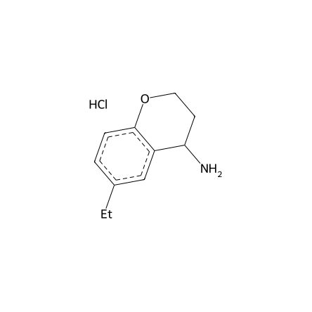 CCc1ccc2c(c1)C(N)CCO2.Cl